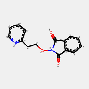 O=C1c2ccccc2C(=O)N1OCCc1ccccn1